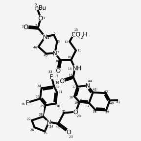 CCCCOC(=O)N1CCN(C(=O)C(CCC(=O)O)NC(=O)c2cc(OCC(=O)N3CCC[C@H]3c3ccc(F)cc3F)c3ccc(C)cc3n2)CC1